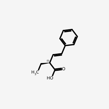 CC[C@@H](C=Cc1ccccc1)C(=O)O